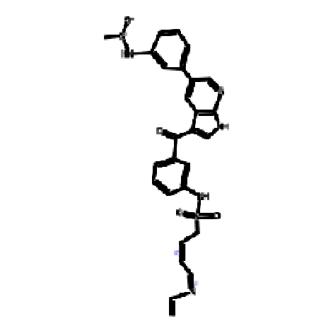 C=C/N=C\C=C/CS(=O)(=O)Nc1cccc(C(=O)c2c[nH]c3ncc(-c4cccc(N[S+](C)[O-])c4)cc23)c1